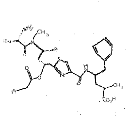 CC[C@H](C)[C@H](N)C(=O)N(C)[C@H](C[C@@H](OC(=O)CC(C)C)c1nc(C(=O)NC(Cc2ccccc2)CC(C)C(=O)O)cs1)C(C)C